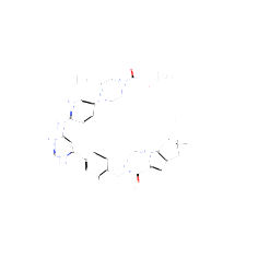 Cc1cc(-c2cc(Nc3ccc(N4CCN(C(=O)OC(C)(C)C)C[C@@H]4C)cn3)ncn2)ccc1CN1CCn2c(cc3c2CC(C)(C)C3)C1=O